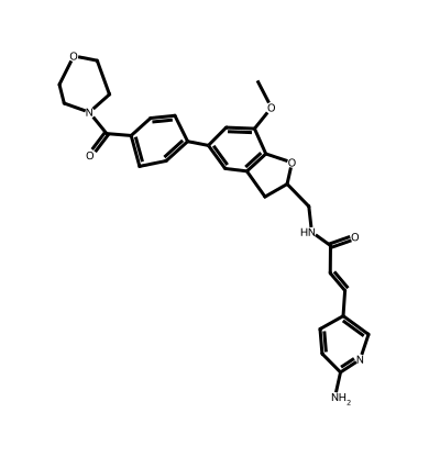 COc1cc(-c2ccc(C(=O)N3CCOCC3)cc2)cc2c1OC(CNC(=O)/C=C/c1ccc(N)nc1)C2